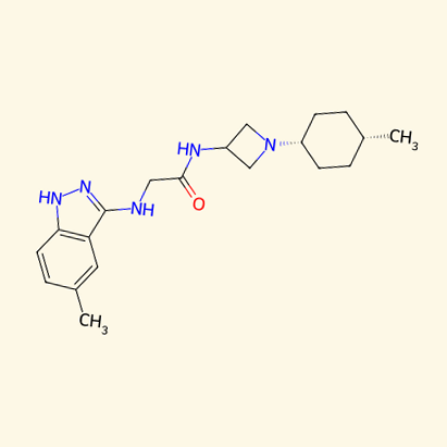 Cc1ccc2[nH]nc(NCC(=O)NC3CN([C@H]4CC[C@@H](C)CC4)C3)c2c1